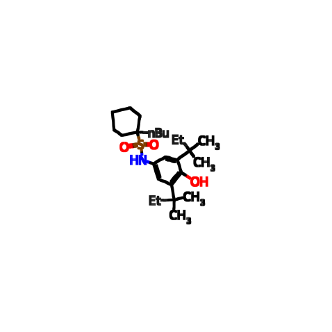 CCCCC1(S(=O)(=O)Nc2cc(C(C)(C)CC)c(O)c(C(C)(C)CC)c2)CCCCC1